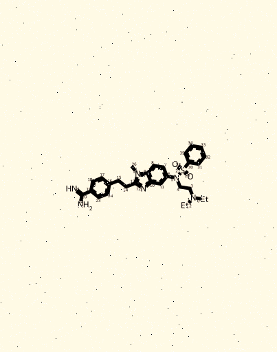 CCN(CC)CCN(c1ccc2c(c1)nc(CCc1ccc(C(=N)N)cc1)n2C)S(=O)(=O)c1ccccc1